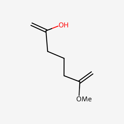 C=C(O)CCCC(=C)OC